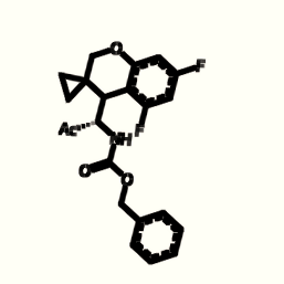 CC(=O)[C@@H](NC(=O)OCc1ccccc1)C1c2c(F)cc(F)cc2OCC12CC2